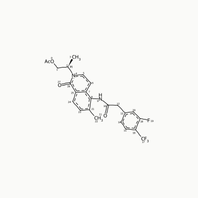 CC(=O)OC[C@@H](C)n1ccc2c(NC(=O)Cc3ccc(C(F)(F)F)c(F)c3)c(C)ccc2c1=O